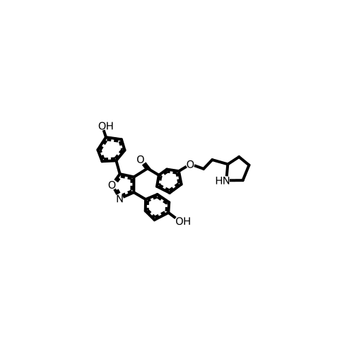 O=C(c1cccc(OCCC2CCCN2)c1)c1c(-c2ccc(O)cc2)noc1-c1ccc(O)cc1